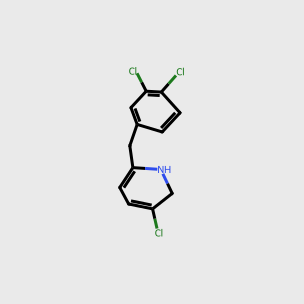 ClC1=CC=C(Cc2ccc(Cl)c(Cl)c2)NC1